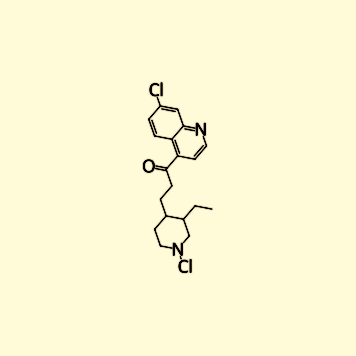 CCC1CN(Cl)CCC1CCC(=O)c1ccnc2cc(Cl)ccc12